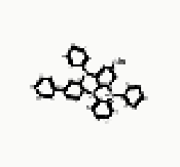 CC(C)(C)c1cc2c3c(c1)N(c1ccccc1)c1cc(-c4ccccc4)ccc1B3c1ccccc1N2c1ccccc1